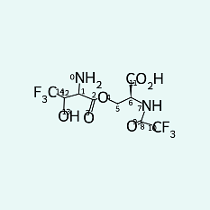 NC(C(=O)OC[C@H](NC(=O)C(F)(F)F)C(=O)O)C(O)C(F)(F)F